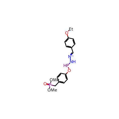 CCOc1ccc(/C=N/NPOc2ccc(CP(=O)(OC)OC)cc2)cc1